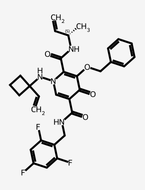 C=C[C@H](C)NC(=O)c1c(OCc2ccccc2)c(=O)c(C(=O)NCc2c(F)cc(F)cc2F)cn1NC1(C=C)CCC1